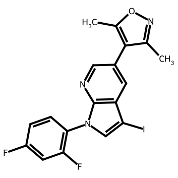 Cc1noc(C)c1-c1cnc2c(c1)c(I)cn2-c1ccc(F)cc1F